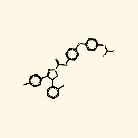 Cc1ccc(C2=NN(C(=O)Nc3ccc(Oc4ccc(OC(F)F)cc4)cc3)CC2c2ccccc2F)cc1